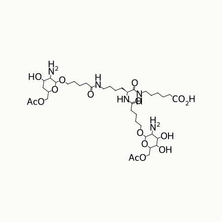 CC(=O)OCC1CC(O)C(N)C(OCCCCC(=O)NCCCC[C@H](NC(=O)CCCCOC2OC(COC(C)=O)C(O)C(O)C2N)C(=O)NCCCCCC(=O)O)O1